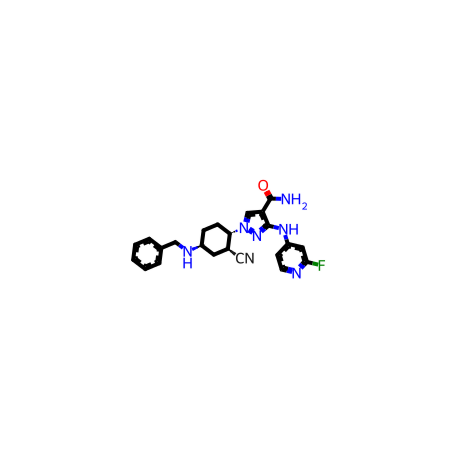 N#C[C@H]1C[C@@H](NCc2ccccc2)CC[C@@H]1n1cc(C(N)=O)c(Nc2ccnc(F)c2)n1